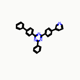 c1ccc(-c2ccc(-c3nc(-c4ccccc4)nc(-c4ccc(-c5cccnc5)cc4)n3)cc2)cc1